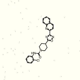 O=C(Nc1ccccc1Cl)N1CCC(c2nc(-c3ccc4ccccc4n3)no2)CC1